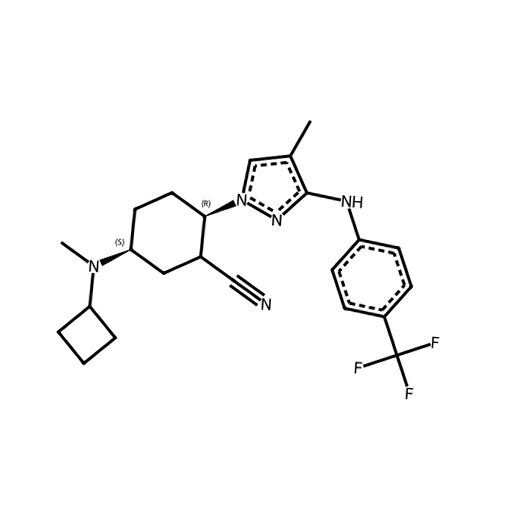 Cc1cn([C@@H]2CC[C@H](N(C)C3CCC3)CC2C#N)nc1Nc1ccc(C(F)(F)F)cc1